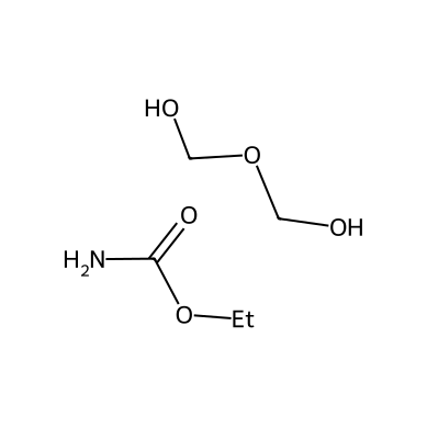 CCOC(N)=O.OCOCO